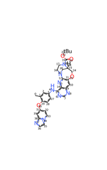 Cc1cc(Nc2ncnc3cc4c(nc23)N2CCN(C(=O)OC(C)(C)C)[C@H](CO4)C2)ccc1Oc1ccn2ccnc2c1